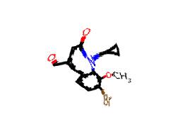 COc1c(Br)ccc2c(C=O)cc(=O)n(C3CC3)c12